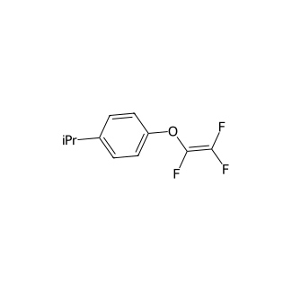 CC(C)c1ccc(OC(F)=C(F)F)cc1